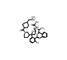 CNCC1CCC(C(=O)N2CCCC(C(O)(CCCNC(=O)O)c3cccc(Cl)c3-c3nc(C(C)C)c4ccccc4n3)C2)CC1